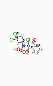 O=C1C(Cl)=C(N(C(=O)O)c2ccc(Cl)c(Cl)c2)C(=O)c2ccccc21